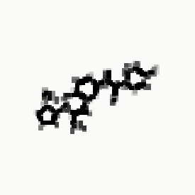 C[C@H]1CCC=C1O/C(N)=N\c1cc(NC(=O)c2ccc(Cl)cn2)ccc1F